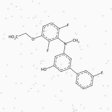 CN(c1cc(O)cc(-c2cccc(F)c2)c1)c1c(F)ccc(OCC(=O)O)c1F